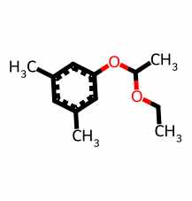 CCOC(C)Oc1cc(C)cc(C)c1